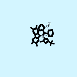 Cc1cc2c(cc1C)[CH]([Zr+2]([C]1=CC(C(C)(C)C)=CC1C)=[C](c1ccccc1)c1ccccc1)c1cc(C)c(C)cc1-2.[Cl-].[Cl-]